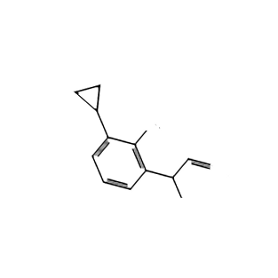 C=C[C](C)c1cccc(C2CC2)c1C#N